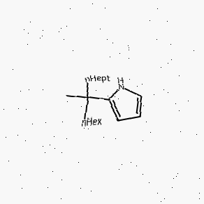 CCCCCCCC(C)(CCCCCC)c1ccc[nH]1